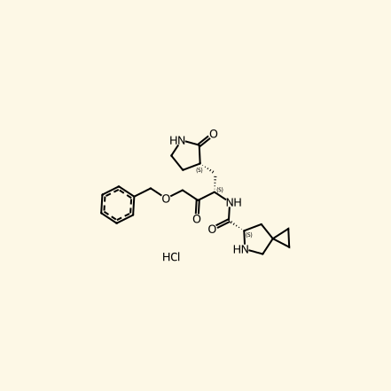 Cl.O=C1NCC[C@H]1C[C@H](NC(=O)[C@@H]1CC2(CC2)CN1)C(=O)COCc1ccccc1